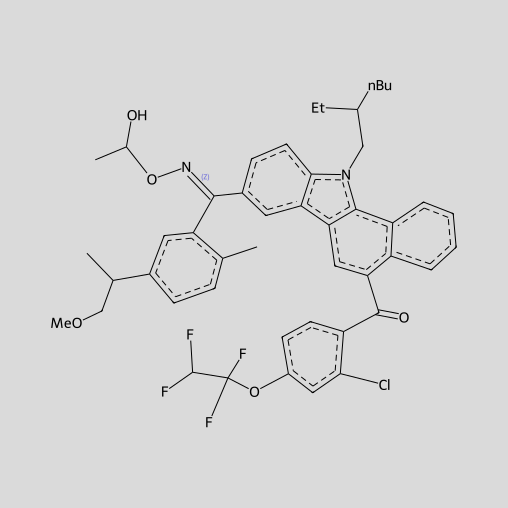 CCCCC(CC)Cn1c2ccc(/C(=N/OC(C)O)c3cc(C(C)COC)ccc3C)cc2c2cc(C(=O)c3ccc(OC(F)(F)C(F)F)cc3Cl)c3ccccc3c21